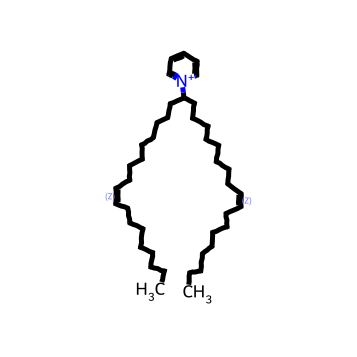 CCCCCCCC/C=C\CCCCCCCCC(CCCCCCCC/C=C\CCCCCCCC)[n+]1ccccc1